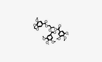 COc1cc(C(=O)OCC(COC(=O)c2cc(OC)c3c(c2)OCO3)OC(=O)c2cc(OC)c(OC)c(OC)c2)cc(OC)c1OC